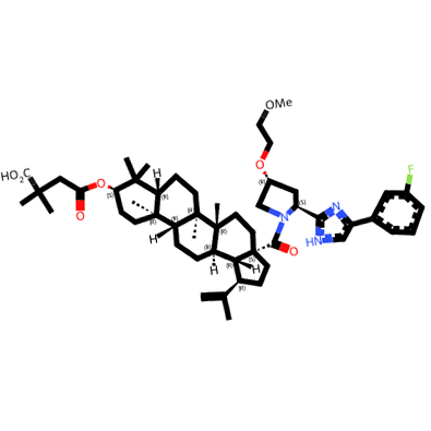 C=C(C)[C@@H]1CC[C@]2(C(=O)N3C[C@H](OCCOC)C[C@H]3c3nc(-c4cccc(F)c4)c[nH]3)CC[C@]3(C)[C@H](CC[C@@H]4[C@@]5(C)CC[C@H](OC(=O)CC(C)(C)C(=O)O)C(C)(C)[C@@H]5CC[C@]43C)[C@@H]12